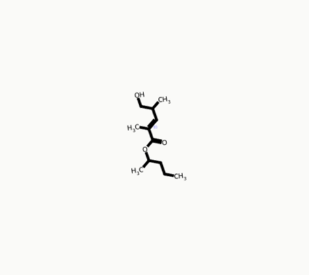 CCCC(C)OC(=O)/C(C)=C/C(C)CO